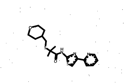 CC(C)(SCC1CCOCC1)C(=O)Nc1nc(-c2ccccn2)cs1